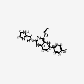 CCOc1nc(NCc2ncc[nH]2)nc2ccc(-c3ccc(F)cc3)nc12